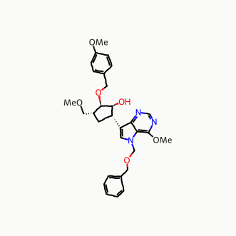 COC[C@H]1C[C@@H](c2cn(COCc3ccccc3)c3c(OC)ncnc23)[C@H](O)[C@@H]1OCc1ccc(OC)cc1